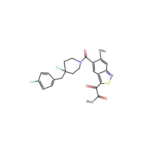 COC(=O)C(=O)c1snc2cc(OC)c(C(=O)N3CCC(F)(Cc4ccc(F)cc4)CC3)cc12